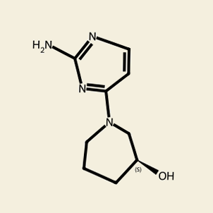 Nc1nccc(N2CCC[C@H](O)C2)n1